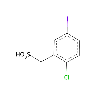 O=S(=O)(O)Cc1cc(I)ccc1Cl